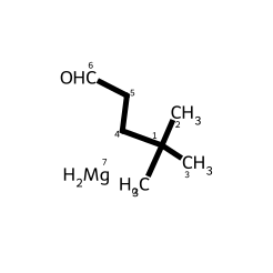 CC(C)(C)CCC=O.[MgH2]